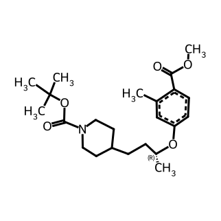 COC(=O)c1ccc(O[C@H](C)CCC2CCN(C(=O)OC(C)(C)C)CC2)cc1C